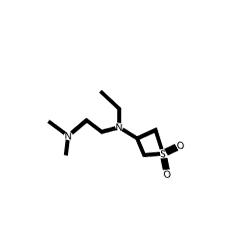 CCN(CCN(C)C)C1CS(=O)(=O)C1